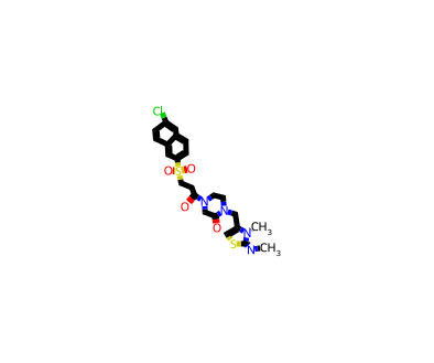 CN=c1scc(CN2CCN(C(=O)CCS(=O)(=O)c3ccc4cc(Cl)ccc4c3)CC2=O)n1C